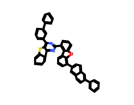 c1ccc(-c2cccc(-c3nc(-c4cccc5oc6c(-c7ccc8cc(-c9ccccc9)ccc8c7)cccc6c45)nc4c3sc3ccccc34)c2)cc1